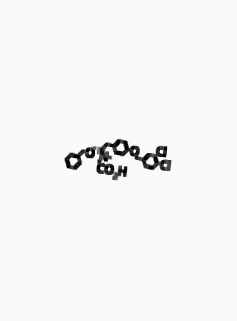 CN(CC(=O)O)[C@H](COCc1ccccc1)Cc1ccc(OCc2ccc(Cl)c(Cl)c2)cc1